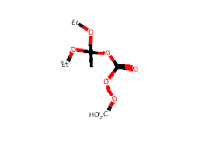 CCOC(C)(OCC)OC(=O)OOC(=O)O